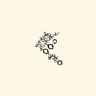 O=P([O-])([O-])CP(=O)([O-])Oc1ccccc1.O=P([O-])([O-])CP(=O)([O-])Oc1ccccc1.O=P([O-])([O-])CP(=O)([O-])Oc1ccccc1.O=P([O-])([O-])CP(=O)([O-])Oc1ccccc1.[Zr+4].[Zr+4].[Zr+4]